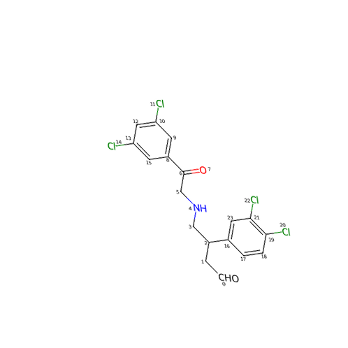 O=CCC(CNCC(=O)c1cc(Cl)cc(Cl)c1)c1ccc(Cl)c(Cl)c1